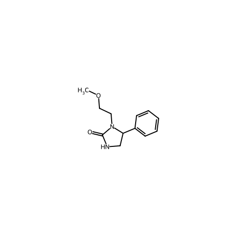 COCCN1C(=O)NCC1c1ccccc1